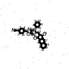 N#Cc1ccc(-c2nc3c(nc(C=C4C(=O)c5cc6ccccc6cc5C4=O)n3-c3ccccc3)o2)cc1